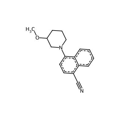 COC1CCCN(c2ccc(C#N)c3ccccc23)C1